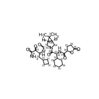 CC1(C)[C@@H]2[C@@H](C(=O)NC(CC3CCC3)C(=O)C(N)=O)N(C(=O)[C@@H](NC(=O)C3CCC(=O)O3)C3CCCCC3)C[C@@H]21